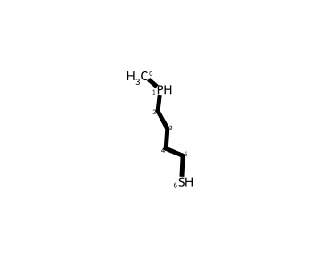 CPCCCCS